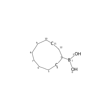 OB(O)C1CCCCCCCCC1